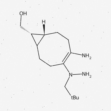 CC(C)(C)CN(N)/C1=C(\N)CC[C@@H]2C(CC1)[C@@H]2CO